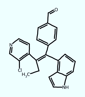 CCC(=C(c1ccc(C=O)cc1)c1cccc2[nH]ccc12)c1ccncc1Cl